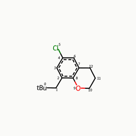 CC(C)(C)Cc1cc(Cl)cc2c1OCCC2